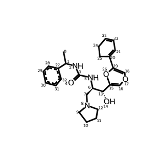 CC(NC(=O)N[C@H](CN1CCCC1)[C@@H](O)C1=COC=C(C2=CC=CCC2)O1)c1ccccc1